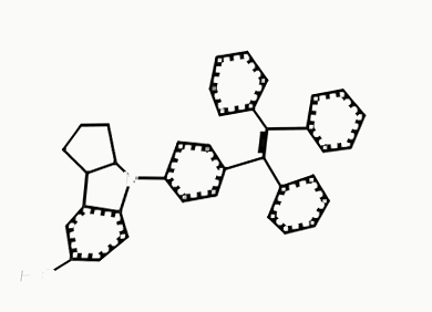 Cc1ccc2c(c1)C1CCCC1N2c1ccc(C(=C(c2ccccc2)c2ccccc2)c2ccccc2)cc1